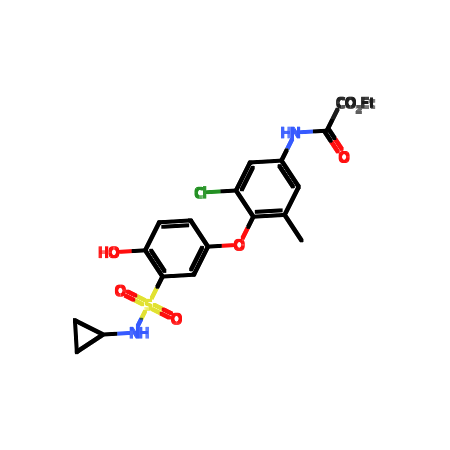 CCOC(=O)C(=O)Nc1cc(C)c(Oc2ccc(O)c(S(=O)(=O)NC3CC3)c2)c(Cl)c1